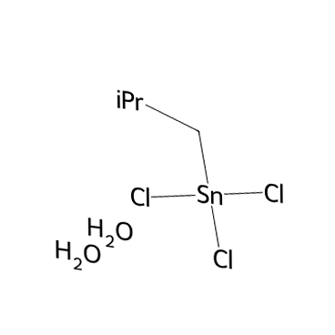 CC(C)[CH2][Sn]([Cl])([Cl])[Cl].O.O